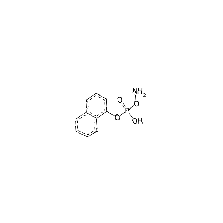 NOP(=O)(O)Oc1cccc2ccccc12